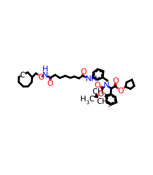 CC(C)(C)OC(=O)N(Cc1cccc(NC(=O)CCCCCCC(=O)NOCC2CCCCCCC2)c1)C(C(=O)OC1CCCC1)c1ccccc1